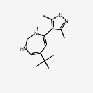 Cc1noc(C)c1C1=CC(C(C)(C)C)=CNCN1